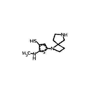 CNc1sc(N2CCC23CCNC3)cc1S